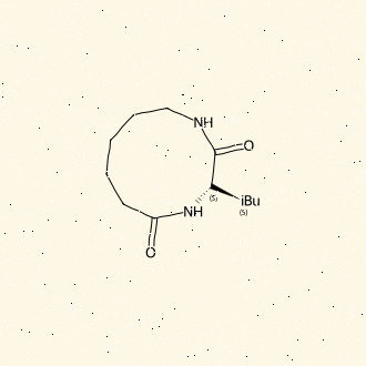 CC[C@H](C)[C@@H]1NC(=O)CCCCCNC1=O